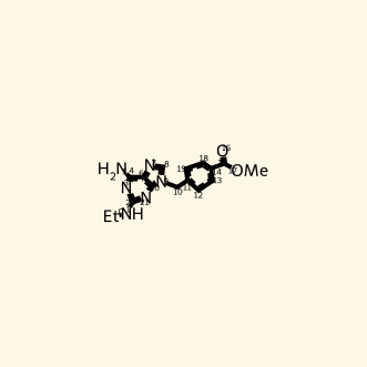 CCNc1nc(N)c2ncn(Cc3ccc(C(=O)OC)cc3)c2n1